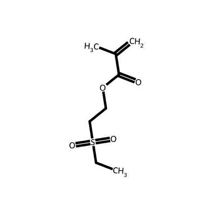 C=C(C)C(=O)OCCS(=O)(=O)CC